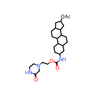 CC(=O)OC1CC2CCC3C4CCC(NC(=O)OCCN5CCNC(=O)C5)CC4CCC3C2C1